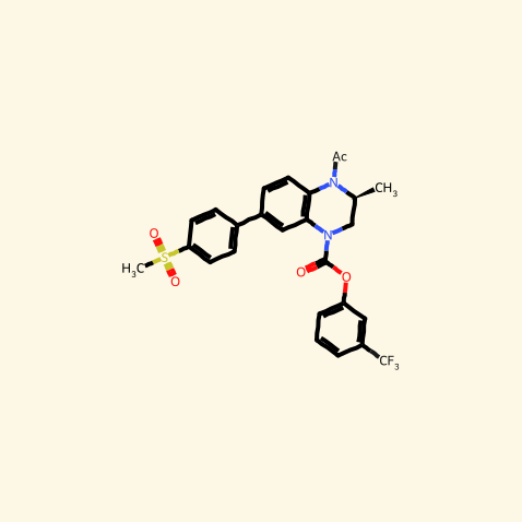 CC(=O)N1c2ccc(-c3ccc(S(C)(=O)=O)cc3)cc2N(C(=O)Oc2cccc(C(F)(F)F)c2)C[C@@H]1C